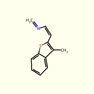 C=N/C=C\c1sc2ccccc2c1C